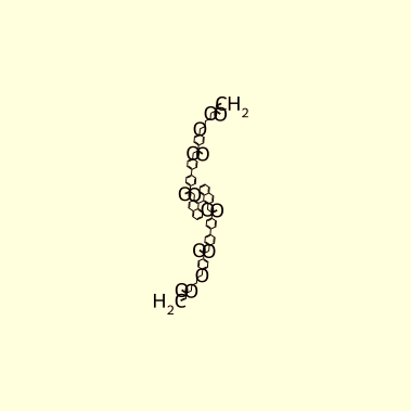 C=CC(=O)OCCCOc1ccc(C(=O)Oc2ccc(-c3ccc(C(=O)Oc4ccc5ccccc5c4-c4c(OC(=O)c5ccc(-c6ccc(OC(=O)c7ccc(OCCCOC(=O)C=C)cc7)cc6)cc5)ccc5ccccc45)cc3)cc2)cc1